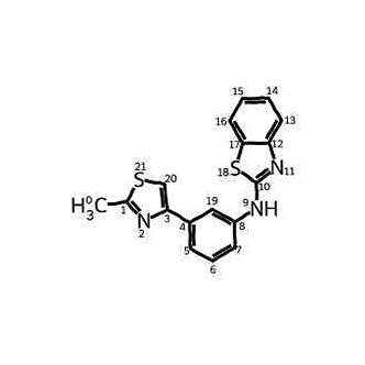 Cc1nc(-c2cccc(Nc3nc4ccccc4s3)c2)cs1